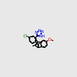 COc1ccc2c3c1C(c1ccc(Cl)cc1)=C2C(C)=C3Cc1nnn[nH]1